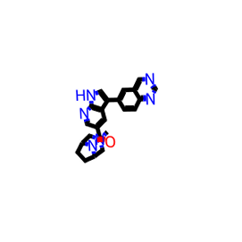 CN1CC2CCC(C1)N2C(=O)c1cnc2[nH]cc(-c3ccc4ncncc4c3)c2c1